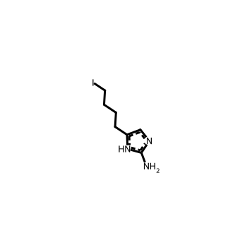 Nc1ncc(CCCCI)[nH]1